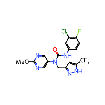 COc1ncc(N(Cc2cc(C(F)(F)F)[nH]n2)C(=O)Nc2ccc(F)c(Cl)c2)cn1